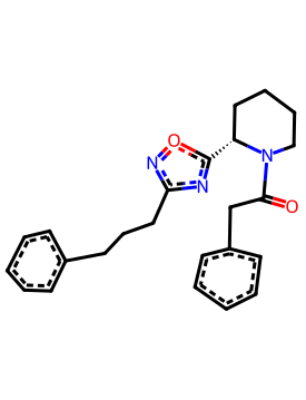 O=C(Cc1ccccc1)N1CCCC[C@H]1c1nc(CCCc2ccccc2)no1